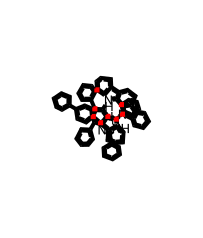 c1ccc(-c2ccc(C3=NC(c4ccccc4)NC(n4c5ccccc5c5ccc6c7ccccc7n(-c7c(-c8ccccc8)cc(-c8ccccc8)c8c9ccccc9n(-c9ccccc9)c78)c6c54)N3)cc2)cc1